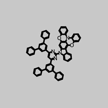 c1ccc(-c2cc(-c3ccccc3)cc(-c3cc(-c4cc(-c5ccccc5)cc(-c5ccccc5)c4)nc(-n4c5ccccc5c5c6c7c(cc54)Oc4ccccc4N7c4ccccc4O6)n3)c2)cc1